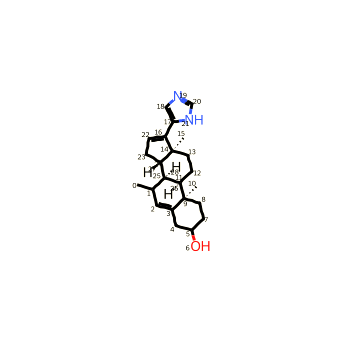 CC1C=C2CC(O)CC[C@]2(C)[C@@H]2CC[C@]3(C)C(c4cnc[nH]4)=CC[C@H]3[C@H]12